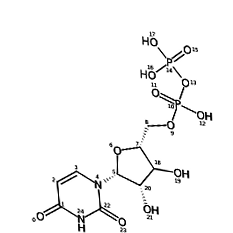 O=c1ccn([C@@H]2O[C@H](COP(=O)(O)OP(=O)(O)O)C(O)[C@@H]2O)c(=O)[nH]1